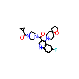 O=C(c1cnc2ccc(F)cc2c1N1CCC2(CCCO2)CC1)N1CCN(C(=O)C2CC2)CC1